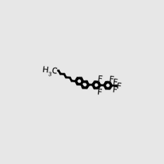 CCCCCCCc1ccc2cc(-c3cc(F)c(-c4ccc(C(F)(F)F)c(F)c4)c(F)c3)ccc2c1